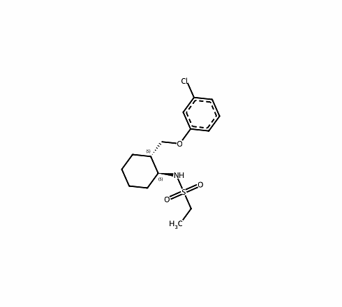 CCS(=O)(=O)N[C@H]1CCCC[C@@H]1COc1cccc(Cl)c1